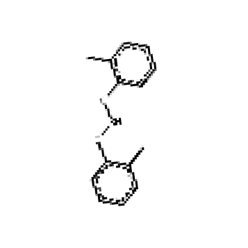 Cc1ccccc1OBOc1ccccc1C